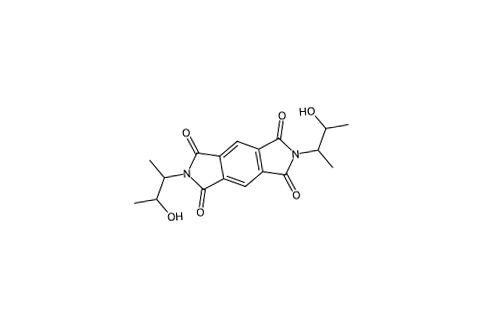 CC(O)C(C)n1c(=O)c2cc3c(=O)n(C(C)C(C)O)c(=O)c3cc2c1=O